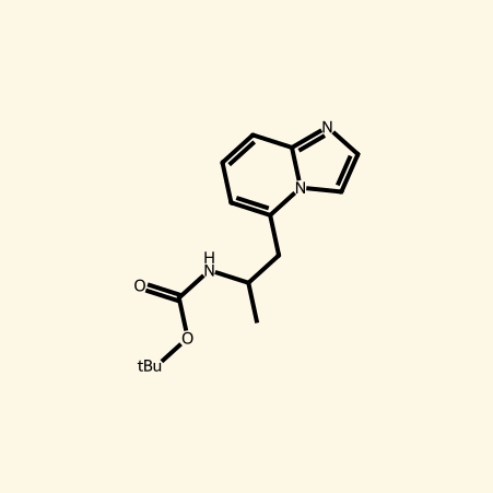 CC(Cc1cccc2nccn12)NC(=O)OC(C)(C)C